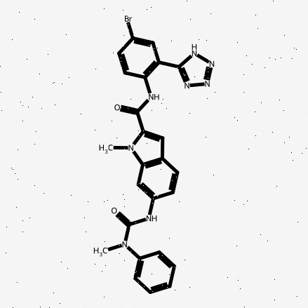 CN(C(=O)Nc1ccc2cc(C(=O)Nc3ccc(Br)cc3-c3nnn[nH]3)n(C)c2c1)c1ccccc1